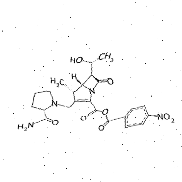 C[C@@H](O)[C@H]1C(=O)N2C(C(=O)OC(=O)c3ccc([N+](=O)[O-])cc3)=C(CN3CCC[C@H]3C(N)=O)[C@H](C)[C@H]12